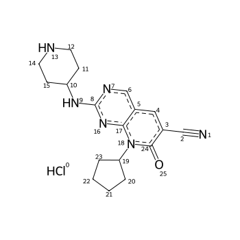 Cl.N#Cc1cc2cnc(NC3CCNCC3)nc2n(C2CCCC2)c1=O